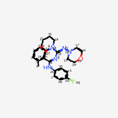 Cc1cccc(C)c1/C(=N\C(=N/N1CCOCC1)N1CCCCC1C)Nc1ccc(F)cc1